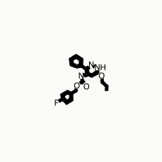 CCCOc1cc(=NC(=O)OCc2ccc(F)cc2)c(-c2ccccc2)n[nH]1